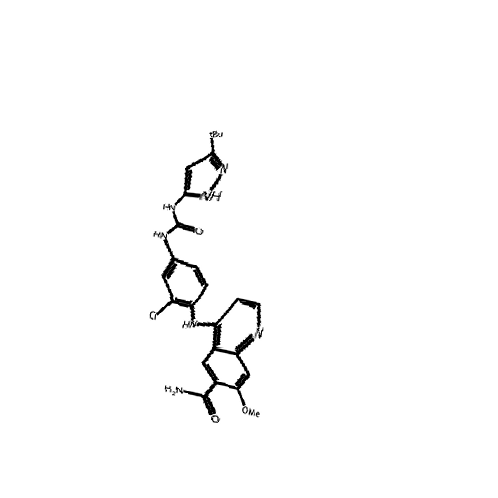 COc1cc2nccc(Nc3ccc(NC(=O)Nc4cc(C(C)(C)C)n[nH]4)cc3Cl)c2cc1C(N)=O